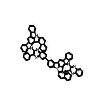 N#Cc1nc2ccccc2nc1-n1c2ccccc2c2cc3c4cc(-c5ccc6nc(-n7c8ccccc8c8cc9c%10ccccc%10n%10c%11ccc%12ccccc%12c%11c(c87)c9%10)c(-c7ccccc7)nc6c5)ccc4n4c5ccc6ccccc6c5c(c21)c34